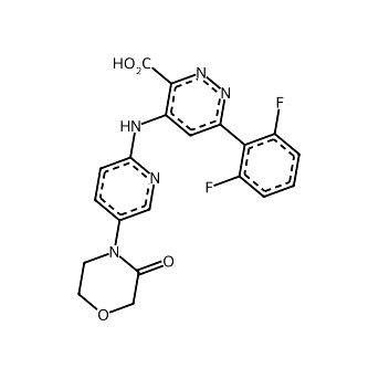 O=C(O)c1nnc(-c2c(F)cccc2F)cc1Nc1ccc(N2CCOCC2=O)cn1